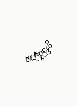 C[C@]12CCC(=O)C=C1CC[C@@H]1[C@@H]2CC[C@]2(C)[C@@H](C3=CC(=O)OC3)CC[C@]12O